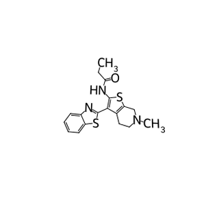 CCC(=O)Nc1sc2c(c1-c1nc3ccccc3s1)CCN(C)C2